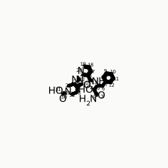 NC(=O)C(O)C(Cc1ccccc1)NC(=O)c1cccnc1-n1cc2c(n1)CN(C(=O)O)CC2